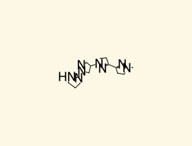 C1=NN(N2CCCN2)CC1N1CCC(C2=N[N]CC2)=N1